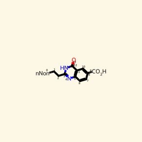 CCCCCCCCCCCc1nc2ccc(C(=O)O)cc2c(=O)[nH]1